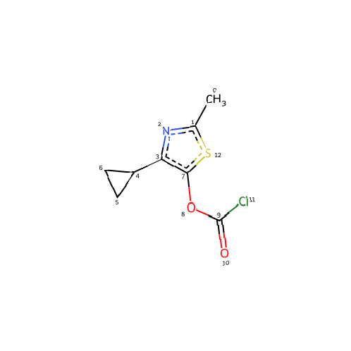 Cc1nc(C2CC2)c(OC(=O)Cl)s1